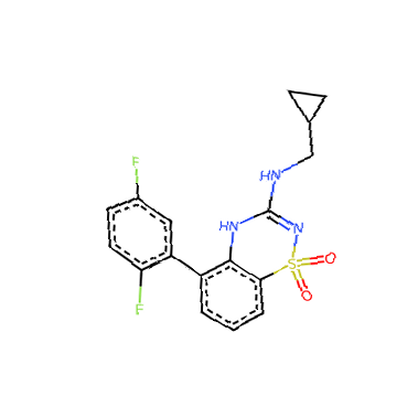 O=S1(=O)N=C(NCC2CC2)Nc2c(-c3cc(F)ccc3F)cccc21